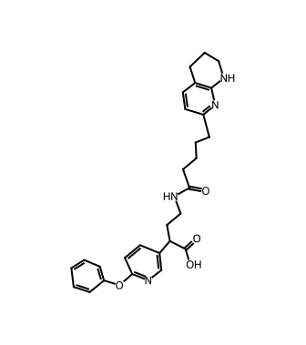 O=C(CCCCc1ccc2c(n1)NCCC2)NCCC(C(=O)O)c1ccc(Oc2ccccc2)nc1